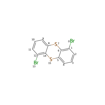 Brc1cccc2c1Sc1cccc(Br)c1S2